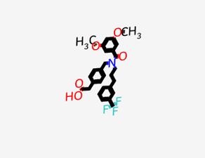 COc1cc(OC)cc(C(=O)N(CCCc2cccc(C(F)(F)F)c2)Cc2ccc(CC(=O)O)cc2)c1